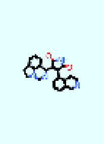 O=C1NC(=O)C(C2N=CN3CCc4cccc2c43)=C1c1cccc2cnccc12